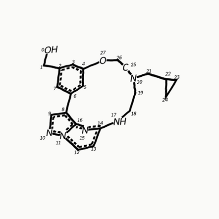 OCc1cc2cc(c1)-c1cnn3ccc(nc13)NCCN(CC1CC1)CCO2